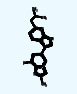 Cc1cn2cc(-c3c[nH]c4nc(CC(C)C)ncc34)cc(F)c2n1